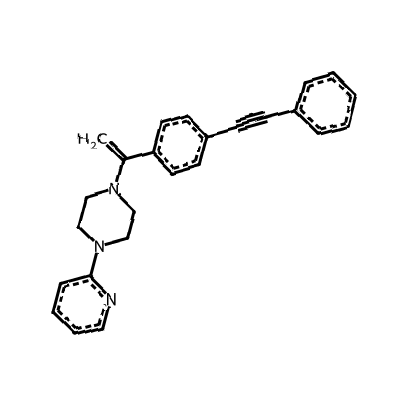 C=C(c1ccc(C#Cc2ccccc2)cc1)N1CCN(c2ccccn2)CC1